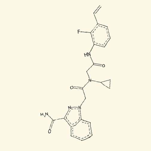 C=Cc1cccc(NC(=O)CN(C(=O)Cn2nc(C(N)=O)c3ccccc32)C2CC2)c1F